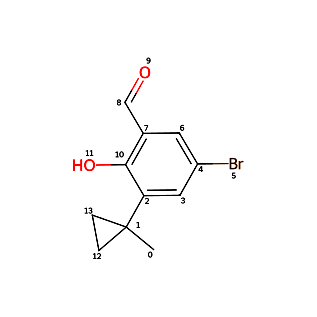 CC1(c2cc(Br)cc(C=O)c2O)CC1